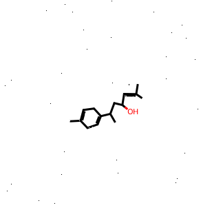 CC(C)=CC(O)CC(C)C1=CCC(C)=CC1